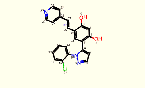 Oc1cc(O)c(-c2ccnn2-c2ccccc2Cl)cc1/C=C/c1ccncc1